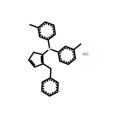 Cc1ccc[c]([Ti]([C]2=C(Cc3ccccc3)C=CC2)[c]2cccc(C)c2)c1.Cl